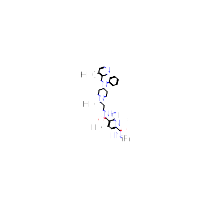 Cc1ccncc1CN(c1ccccc1)C1CCN([C@H](C)CCNC(=O)c2c(C)cc(C(=O)NC(C)C)nc2C)CC1